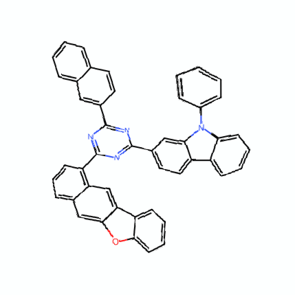 c1ccc(-n2c3ccccc3c3ccc(-c4nc(-c5ccc6ccccc6c5)nc(-c5cccc6cc7oc8ccccc8c7cc56)n4)cc32)cc1